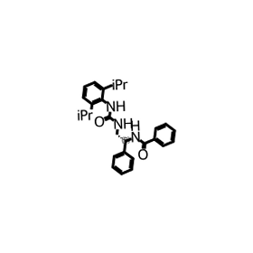 CC(C)c1cccc(C(C)C)c1NC(=O)NC[C@H](NC(=O)c1ccccc1)c1ccccc1